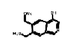 COCc1cc2cncc(O)c2cc1COC